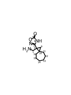 NCC1(c2noc(=O)[nH]2)CC12CCCCCC2